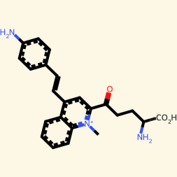 C[n+]1c(C(=O)CCC(N)C(=O)O)cc(C=Cc2ccc(N)cc2)c2ccccc21